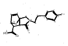 O=C(O)C1C2C=CC3(CN(CCc4ccc(F)cc4)C(=O)C13)O2